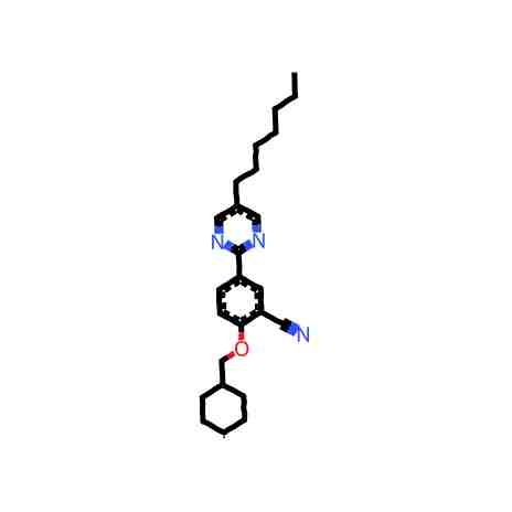 CCCCCCCc1cnc(-c2ccc(OCC3CC[CH]CC3)c(C#N)c2)nc1